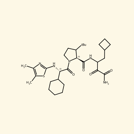 Cc1nc(N[C@H](C(=O)N2CCC(C(C)(C)C)[C@H]2C(=O)NC(CC2CCC2)C(=O)C(N)=O)C2CCCCC2)sc1C